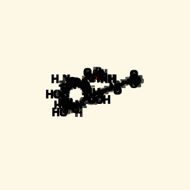 CC[C@H](C)[C@H](NC(=O)CN)C(=O)NCC(=O)N[C@H]1C[S+]([O-])c2[nH]c3c(CSCCCCNC(=O)CCCCCN4OCC=CC4=O)c(O)ccc3c2C[C@@H](C)NC(=O)C([C@@H](C)C(O)CO)NC(=O)C2C[C@@H](O)CN2C(=O)C(CC(N)=O)NC1=O